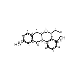 CCCO[C@@H]1Cc2ccc(O)cc2OC1c1cccc(O)c1